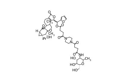 CC1O[C@H](CO)[C@@H](O)[C@H](O)[C@H]1NC(=O)CCC(=O)N1CCN(C(=O)CCC(=O)O/C(=C2/OC(=O)C3=C2C2CO[C@]4(C)[C@H](O)[C@@]5(C(C)C)C[C@H]5[C@@H]5O[C@@]54[C@@]2(C)CC3)c2ccco2)CC1